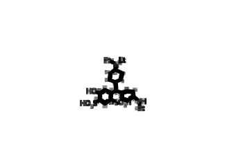 CCNc1ccc(C(=C2C=CC(=[N+](CC)CC)C=C2)c2cc(O)c(S(=O)(=O)O)cc2S(=O)(=O)O)cc1